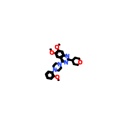 COc1cc2nc(C3CCOCC3)nc(N3CCN(c4ccccc4OC)CC3)c2cc1OC